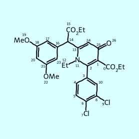 CCOC(=O)c1c(-c2ccc(Cl)c(Cl)c2)n(CC)c(C(C(=O)OCC)c2cc(OC)cc(OC)c2)cc1=O